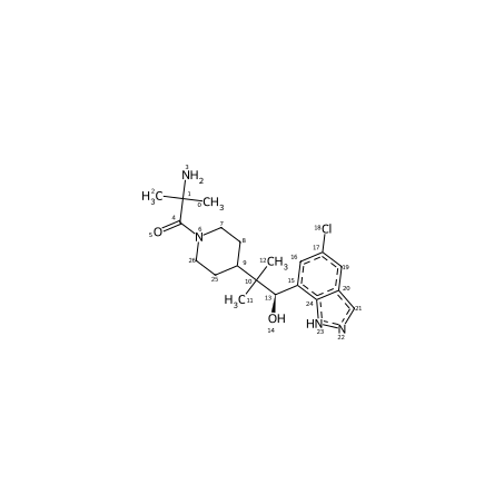 CC(C)(N)C(=O)N1CCC(C(C)(C)[C@H](O)c2cc(Cl)cc3cn[nH]c23)CC1